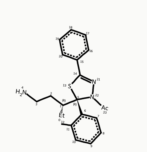 CC[C@H](CCN)[C@]1(c2ccccc2C)SC(c2ccccc2)=NN1C(C)=O